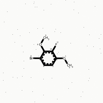 COc1ccc(Br)c(OC)c1F